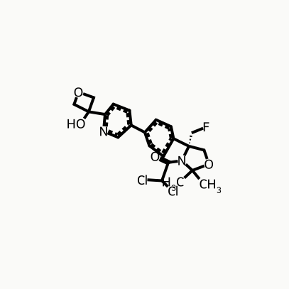 CC1(C)OC[C@](CF)(c2ccc(-c3ccc(C4(O)COC4)nc3)cc2)N1C(=O)C(Cl)Cl